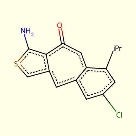 CC(C)c1cc(Cl)cc2cc3csc(N)c3c(=O)cc12